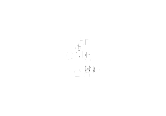 Cc1ccccc1NC(=O)C(c1ccc(CN2N=C(c3ccccc3)OCC2=O)cc1)C(C)C(F)(F)F